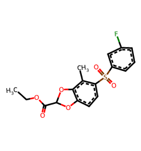 CCOC(=O)C1Oc2ccc(S(=O)(=O)c3cccc(F)c3)c(C)c2O1